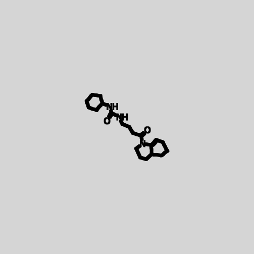 O=C(NCCCC(=O)N1CCCC2CCCC=C21)NC1CCCCC1